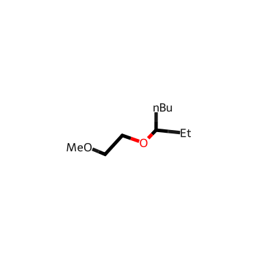 [CH2]CC(CCCC)OCCOC